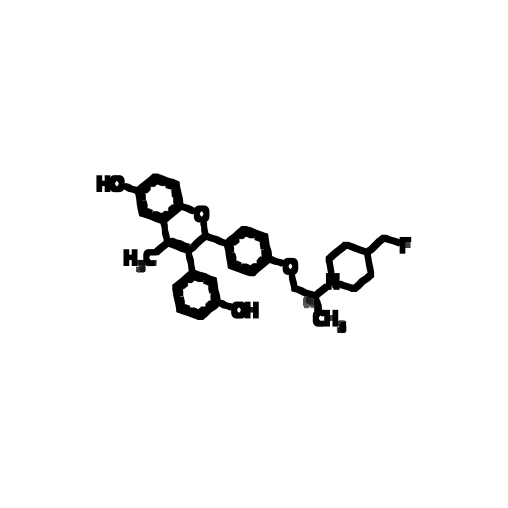 CC1=C(c2cccc(O)c2)C(c2ccc(OC[C@H](C)N3CCC(CF)CC3)cc2)Oc2ccc(O)cc21